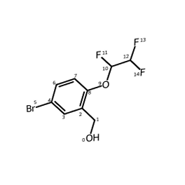 OCc1cc(Br)ccc1OC(F)C(F)F